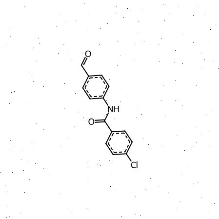 O=Cc1ccc(NC(=O)c2ccc(Cl)cc2)cc1